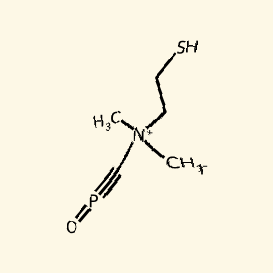 C[N+](C)(C#P=O)CCS.[I-]